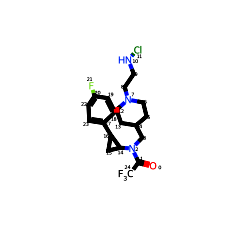 O=C(N(CC1CCN(CCNCl)CC1)C1CC1c1ccc(F)cc1)C(F)(F)F